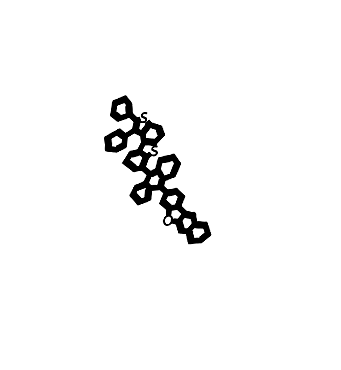 c1ccc(-c2sc3ccc4sc5c(-c6c7ccccc7c(-c7ccc8c(c7)oc7cc9ccccc9cc78)c7ccccc67)cccc5c4c3c2-c2ccccc2)cc1